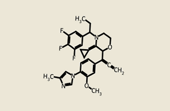 C=C=C(c1ccc(-n2cnc(C)c2)c(OC)c1)C1OCCN(C(CC)c2cc(F)c(F)c(F)c2)C1=C1CC1